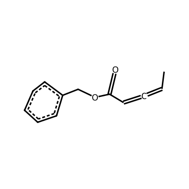 CC=C=CC(=O)OCc1ccccc1